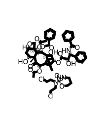 CC(=O)O[C@H]1C(=O)[C@@]2(C)[C@H]([C@H](OC(=O)c3ccccc3)[C@]3(O)C[C@H](OC(=O)[C@H](O)[C@@H](NC(=O)c4ccccc4)c4ccccc4)C(C)=C1C3(C)C)[C@]1(OC(C)=O)CO[C@@H]1C[C@@H]2O.O=P1(N(CCCl)CCCl)NCCCO1